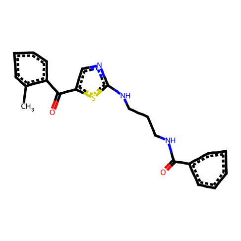 Cc1ccccc1C(=O)c1cnc(NCCCNC(=O)c2ccccc2)s1